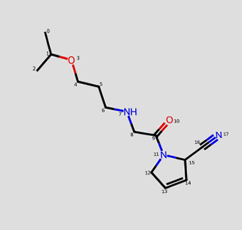 CC(C)OCCCNCC(=O)N1CC=CC1C#N